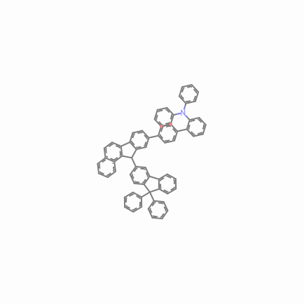 c1ccc(N(c2ccccc2)c2ccccc2-c2ccc(-c3ccc4c(c3)C(c3ccc5c(c3)-c3ccccc3C5(c3ccccc3)c3ccccc3)c3c-4ccc4ccccc34)cc2)cc1